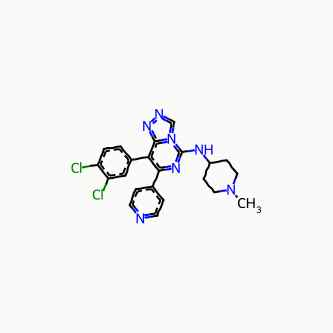 CN1CCC(Nc2nc(-c3ccncc3)c(-c3ccc(Cl)c(Cl)c3)c3nncn23)CC1